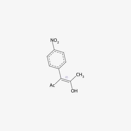 CC(=O)/C(=C(/C)O)c1ccc([N+](=O)[O-])cc1